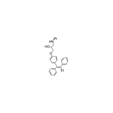 CC/C(=C(\c1ccccc1)c1ccc(OCC(O)CNC(C)C)cc1)c1ccccc1